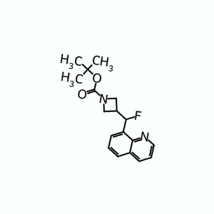 CC(C)(C)OC(=O)N1CC(C(F)c2cccc3cccnc23)C1